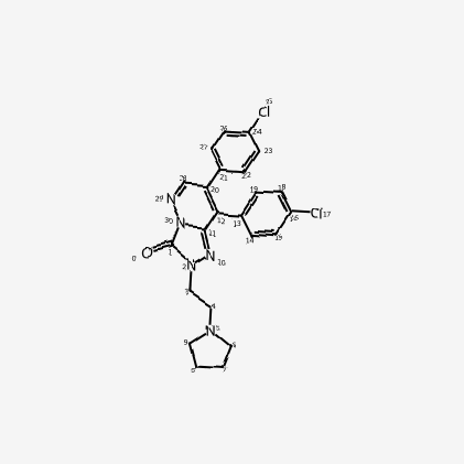 O=c1n(CCN2CCCC2)nc2c(-c3ccc(Cl)cc3)c(-c3ccc(Cl)cc3)cnn12